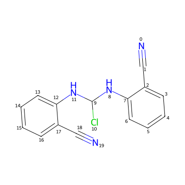 N#Cc1ccccc1NC(Cl)Nc1ccccc1C#N